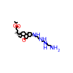 CC(C)OC(=O)CC[C@@H](C)[C@H]1CCC2C3C(=O)CC4C[C@@H](NCCCNCCNCCCN)CC[C@]4(C)C3CC[C@@]21C